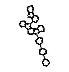 c1ccc(-c2ccc(-c3ccc(-n4c5ccccc5c5c4ccc4c6ccccc6n(-c6cccc7c6sc6ccccc67)c45)cc3)cc2)cc1